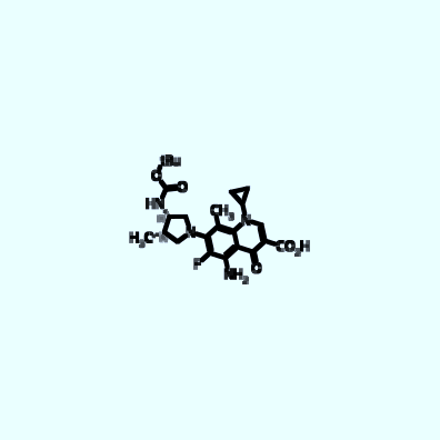 Cc1c(N2C[C@H](C)[C@H](NC(=O)OC(C)(C)C)C2)c(F)c(N)c2c(=O)c(C(=O)O)cn(C3CC3)c12